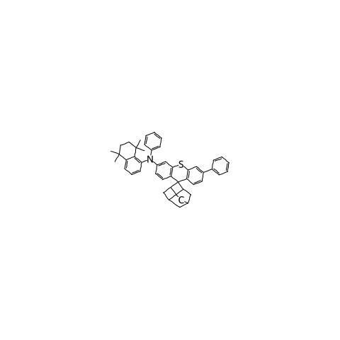 CC1(C)CCC(C)(C)c2c(N(c3ccccc3)c3ccc4c(c3)Sc3cc(-c5ccccc5)ccc3C43C4CC5CC6CC3C64C5)cccc21